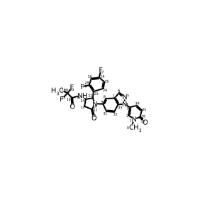 Cn1cc(-n2ncc3cc(N4C(=O)CC(NC(=O)C(C)(F)F)C4c4ccc(F)cc4F)ccc32)ccc1=O